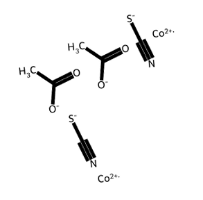 CC(=O)[O-].CC(=O)[O-].N#C[S-].N#C[S-].[Co+2].[Co+2]